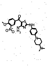 COc1ccc(C(=O)c2sc(Nc3ccc(N4CCC(N(C)C)CC4)cc3)nc2N)cc1[N+](=O)[O-]